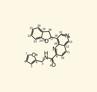 O=C(NCc1ccco1)c1ccc2cncc(C3Cc4ccccc4O3)c2n1